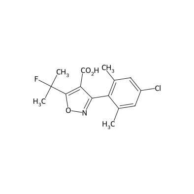 Cc1cc(Cl)cc(C)c1-c1noc(C(C)(C)F)c1C(=O)O